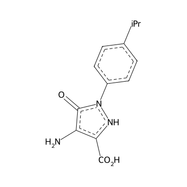 CC(C)c1ccc(-n2[nH]c(C(=O)O)c(N)c2=O)cc1